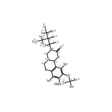 [2H]c1c2c(c([2H])c(OC([2H])([2H])[2H])c1OC)C1CC(=O)C(C([2H])([2H])C([2H])(C([2H])([2H])[2H])C([2H])([2H])C)CN1CC2